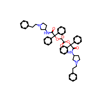 O=C(OC(C(=O)NC1CCN(CCc2ccccc2)C1)(c1ccccc1)c1ccccc1)C(=O)OC(C(=O)NC1CCN(CCc2ccccc2)C1)(c1ccccc1)c1ccccc1